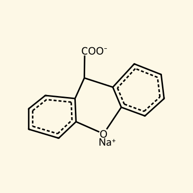 O=C([O-])C1c2ccccc2Oc2ccccc21.[Na+]